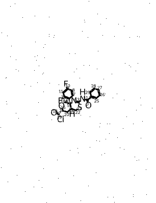 O=C(NC1=N[C@@]2(c3ccc(F)cc3F)CO[C@@H](C(=O)Cl)C[C@H]2CS1)c1ccccc1